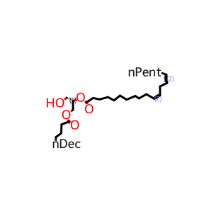 CCCCC/C=C\C/C=C\CCCCCCCCCC(=O)O[C@@H](CO)COC(=O)CCCCCCCCCCCCC